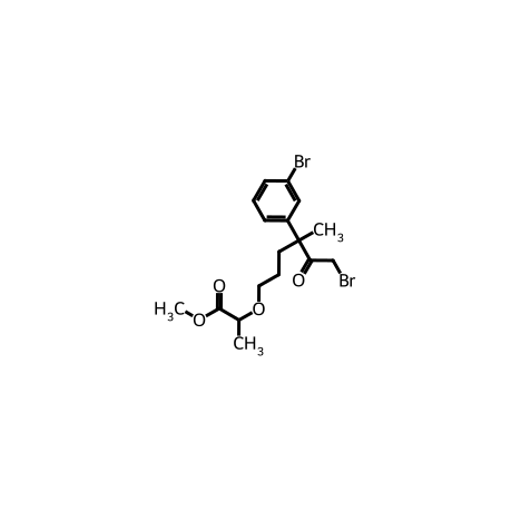 COC(=O)C(C)OCCCC(C)(C(=O)CBr)c1cccc(Br)c1